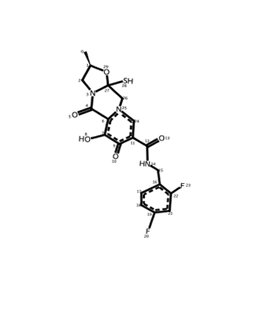 C[C@@H]1CN2C(=O)c3c(O)c(=O)c(C(=O)NCc4ccc(F)cc4F)cn3CC2(S)O1